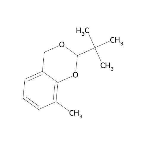 Cc1cccc2c1OC(C(C)(C)C)OC2